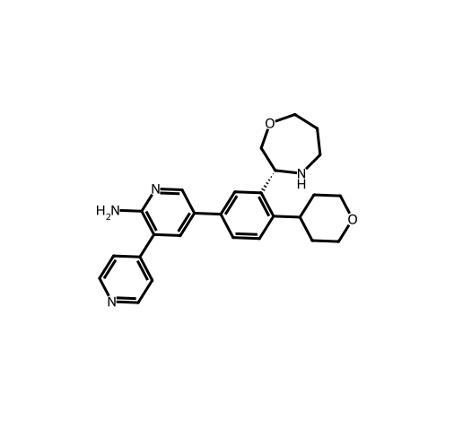 Nc1ncc(-c2ccc(C3CCOCC3)c([C@@H]3COCCCN3)c2)cc1-c1ccncc1